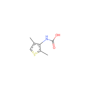 Cc1csc(C)c1NC(=O)O